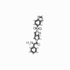 N[C@H](C(=O)N1Cc2cn(S(=O)(=O)c3ccc4ncsc4c3)nc2C1)c1ccccc1